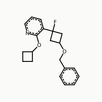 FC1(c2cccnc2OC2CCC2)CC(OCc2ccccc2)C1